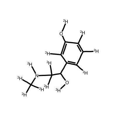 [2H]Oc1c([2H])c([2H])c([2H])c(C(O[2H])C([2H])([2H])N([2H])C([2H])([2H])[2H])c1[2H]